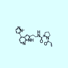 C=CC(=O)N1CCC[C@H]1C(=O)NCCc1cc2c(-c3ccnn3C)ccnc2[nH]1